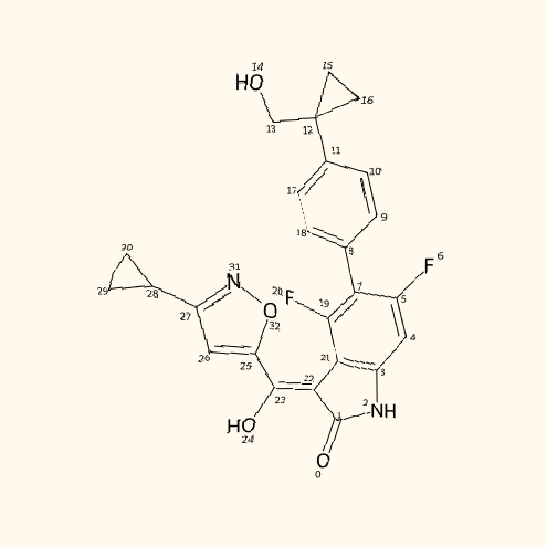 O=C1Nc2cc(F)c(-c3ccc(C4(CO)CC4)cc3)c(F)c2/C1=C(/O)c1cc(C2CC2)no1